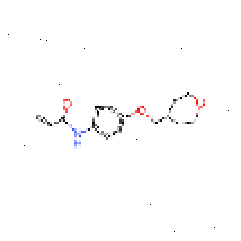 C=CC(=O)Nc1ccc(OCC2CCOCC2)cc1